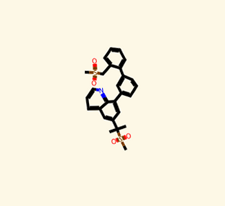 CC(C)(c1cc(-c2cccc(-c3ccccc3CS(C)(=O)=O)c2)c2ncccc2c1)S(C)(=O)=O